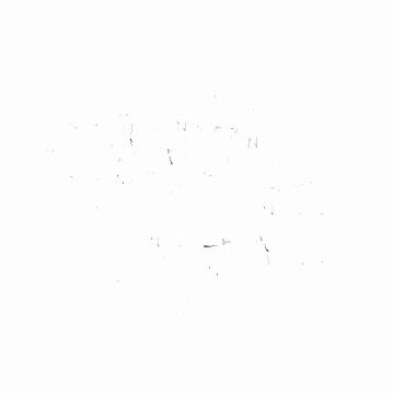 O=C1c2cccc(n2)C(=O)N2C[C@@H](c3ccccc3)N(C[C@H]2c2ccccc2)C(=O)c2cccc(n2)C(=O)N2C[C@@H](c3ccccc3)N1C[C@H]2c1ccccc1